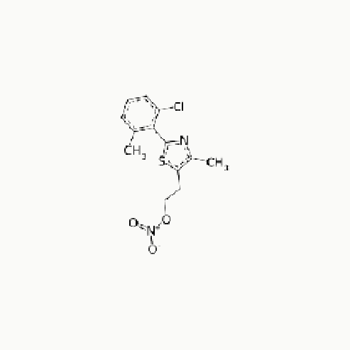 Cc1cccc(Cl)c1-c1nc(C)c(CCO[N+](=O)[O-])s1